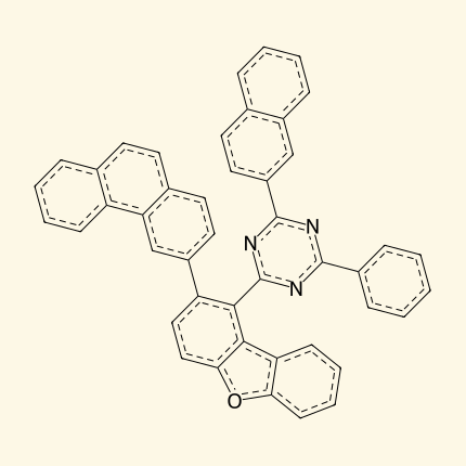 c1ccc(-c2nc(-c3ccc4ccccc4c3)nc(-c3c(-c4ccc5ccc6ccccc6c5c4)ccc4oc5ccccc5c34)n2)cc1